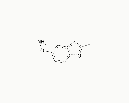 Cc1cc2cc(ON)ccc2o1